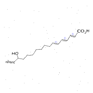 CCCCCC(O)CCCCCCC/C=C/C=C/C=C/C(=O)O